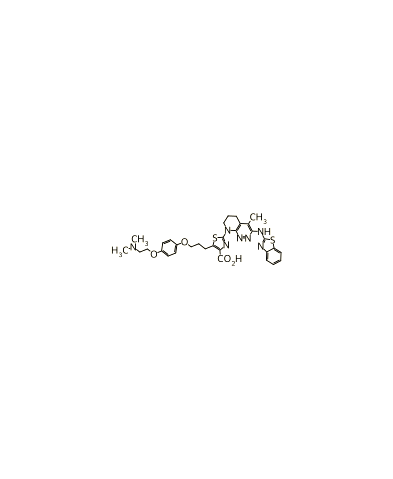 Cc1c(Nc2nc3ccccc3s2)nnc2c1CCCN2c1nc(C(=O)O)c(CCCOc2ccc(OCCN(C)C)cc2)s1